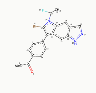 COC(=O)c1ccc(-c2c(Br)n(C(C)F)c3cc4cn[nH]c4cc23)cc1